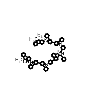 CC1(C)c2ccccc2-c2ccc(-n3c4ccccc4c4cc(-c5ccc6c(c5)c5ccccc5n6-c5ccc(-c6ccc7c8c(cccc68)-c6nc(-c8cccc(-n9c%10ccccc%10c%10cc(-c%11ccc%12c(c%11)c%11ccccc%11n%12-c%11ccc%12c(c%11)C(C)(C)c%11ccccc%11-%12)ccc%109)c8)nc(-c8ccccc8)c6-7)cc5)ccc43)cc21